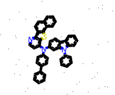 c1ccc(-c2ccc(N(c3ccc4c5ccccc5n(-c5ccccc5)c4c3)c3ccnc4c3sc3c5ccccc5ccc43)cc2)cc1